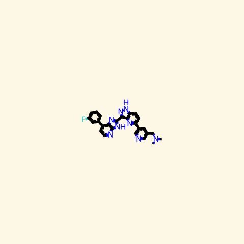 CN(C)Cc1cncc(-c2ccc3[nH]nc(-c4nc5c(-c6cccc(F)c6)ccnc5[nH]4)c3n2)c1